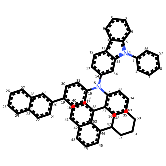 c1ccc(-n2c3ccccc3c3ccc(N(c4ccc(-c5ccc6ccccc6c5)cc4)c4ccccc4-c4cccc5cccc(C6CCCCC6)c45)cc32)cc1